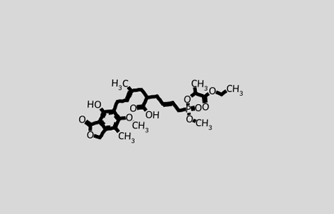 CCOC(=O)C(C)OP(=O)(C/C=C/CC(C/C(C)=C/Cc1c(O)c2c(c(C)c1OC)COC2=O)C(=O)O)OC